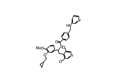 COc1ccc(C(Cc2c(Cl)cncc2Cl)OC(=O)c2ccc(CNc3cccnc3)cc2)cc1OCC1CC1